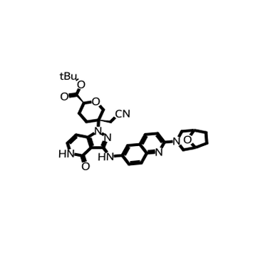 CC(C)(C)OC(=O)[C@@H]1CC[C@@](CC#N)(n2nc(Nc3ccc4nc(N5CC6CCC(C5)O6)ccc4c3)c3c(=O)[nH]ccc32)CO1